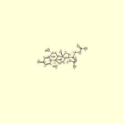 CCC(=O)OCC(=O)[C@]1(OC(=O)CC)[C@@H](C)C[C@H]2[C@@H]3C[C@@H](O)C4=CC(=O)C=C[C@]4(C)[C@@]3(F)[C@@H](O)C[C@@]21C